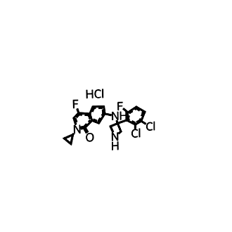 Cl.O=c1c2cc(NC3(c4c(F)ccc(Cl)c4Cl)CNC3)ccc2c(F)cn1C1CC1